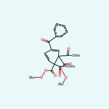 COC(=O)C1(C(=O)OOC(C)(C)C)C=CC(C(=O)c2ccccc2)=CC1(C(=O)OC)C(=O)OOC(C)(C)C